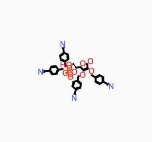 N#Cc1ccc(COC2=C(OCc3ccc(C#N)cc3)[C@@H]([C@H](CO)OP(=O)(OCc3ccc(C#N)cc3)OCc3ccc(C#N)cc3)OC2=O)cc1